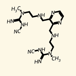 CN(CCNCc1nccnc1CNCCN(C)C(=N)NC#N)C(=N)NC#N